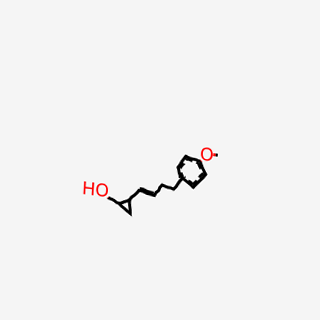 COc1ccc(CCC=CC2CC2CO)cc1